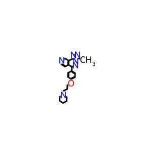 Cc1nnc2c3cnccc3c(-c3ccc(OCCCN4CCCCC4)cc3)nn12